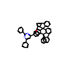 c1ccc(-c2cc(-c3cccc(-c4cccc5c4C4(c6ccccc6-5)c5ccccc5C5(c6ccccc6)c6ccccc6-c6cccc4c65)c3)nc(-c3ccccc3)n2)cc1